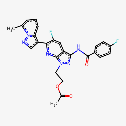 CC(=O)OCCn1nc(NC(=O)c2ccc(F)cc2)c2cc(F)c(-c3cnn4c(C)cccc34)nc21